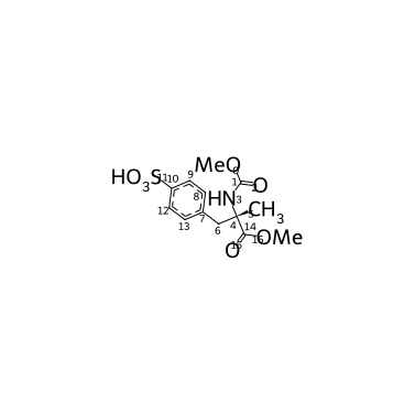 COC(=O)N[C@@](C)(Cc1ccc(S(=O)(=O)O)cc1)C(=O)OC